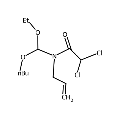 C=CCN(C(=O)C(Cl)Cl)C(OCC)OCCCC